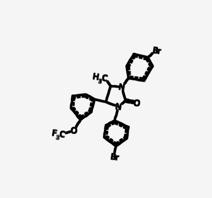 CC1C(c2cccc(OC(F)(F)F)c2)N(c2ccc(Br)cc2)C(=O)N1c1ccc(Br)cc1